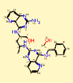 CC(C[C@H](CO)Nc1nc(N)nc2cccnc12)Nc1nc(N[C@H](CO)c2ccccc2)c2ncccc2n1